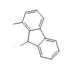 Cc1cccc2c1C(C=O)c1ccccc1-2